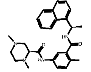 Cc1ccc(NC(=O)[C@@H]2CN(C)CCN2C)cc1C(=O)N[C@H](C)c1cccc2ccccc12